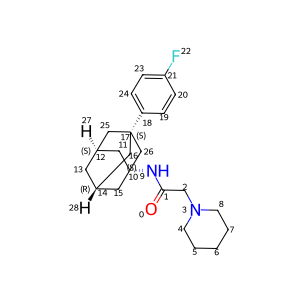 O=C(CN1CCCCC1)N[C@@]12C[C@H]3C[C@@H](C1)C[C@@](c1ccc(F)cc1)(C3)C2